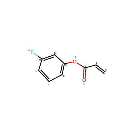 C=CC(=O)Oc1cccc(F)c1